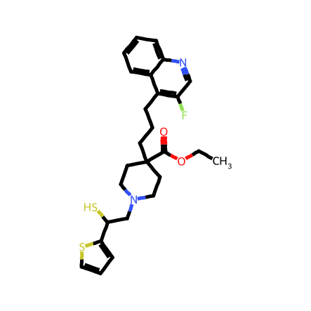 CCOC(=O)C1(CCCc2c(F)cnc3ccccc23)CCN(CC(S)c2cccs2)CC1